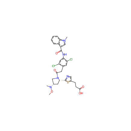 CON(C)[C@H]1C[C@@H](c2ncc(CCC(=O)O)s2)N(C(=O)Cc2cc(Cl)c(NC(=O)c3cn(C)c4ccccc34)cc2Cl)C1